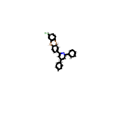 Brc1ccc2c(c1)Sc1ccc(-c3cc(-c4ccccc4)cc(-c4ccccc4)n3)cc1S2